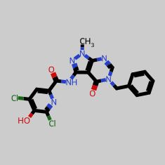 Cn1nc(NC(=O)c2cc(Cl)c(O)c(Cl)n2)c2c(=O)n(Cc3ccccc3)cnc21